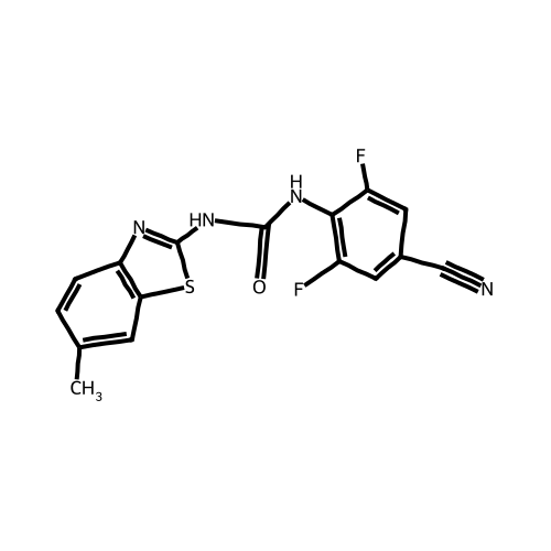 Cc1ccc2nc(NC(=O)Nc3c(F)cc(C#N)cc3F)sc2c1